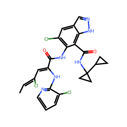 CC=C(Cl)/C=C(\Nc1ncccc1Cl)C(=O)Nc1c(Cl)cc2cn[nH]c2c1C(=O)NC1(C2CC2)CC1